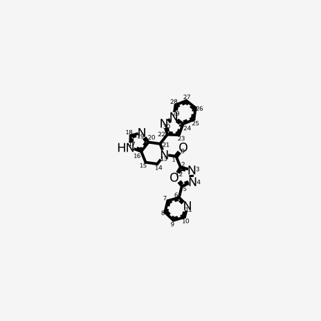 O=C(c1nnc(-c2ccccn2)o1)N1CCc2[nH]cnc2C1c1cc2ccccn2n1